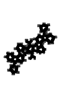 CC(C)c1c2c3cccc4c5c6c7ccccc7n(-c7ccccc7)c6ccc5n(c2c(C(C)C)c2c5cccc6c7c8c9ccccc9n(-c9ccccc9)c8ccc7n(c12)c56)c34